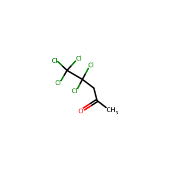 CC(=O)CC(Cl)(Cl)C(Cl)(Cl)Cl